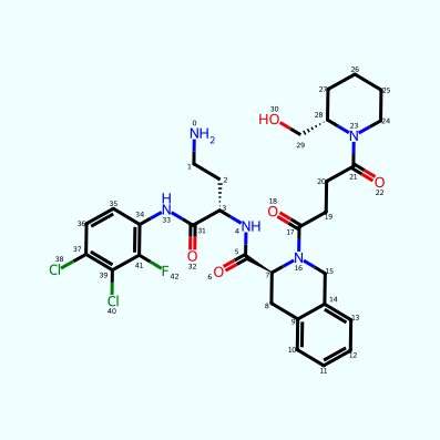 NCC[C@H](NC(=O)[C@@H]1Cc2ccccc2CN1C(=O)CCC(=O)N1CCCC[C@H]1CO)C(=O)Nc1ccc(Cl)c(Cl)c1F